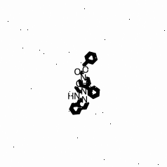 C=CC(Nc1nccc2ccccc12)NC1(c2ccccc2)CCN(C(=O)OCc2ccccc2)CC1